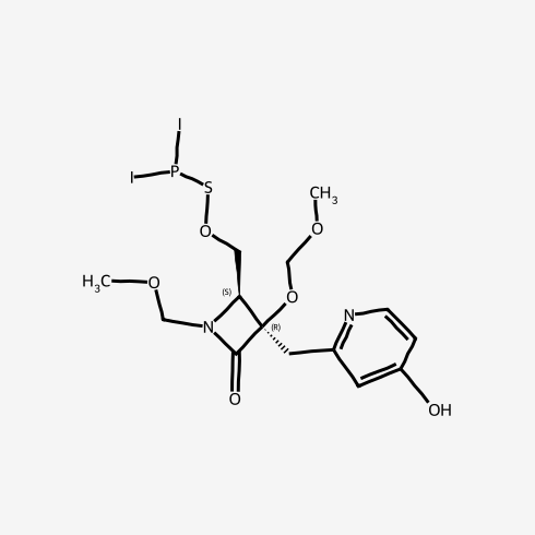 COCO[C@@]1(Cc2cc(O)ccn2)C(=O)N(COC)[C@H]1COSP(I)I